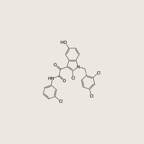 O=C(Nc1cccc(Cl)c1)C(=O)c1c(Cl)n(Cc2ccc(Cl)cc2Cl)c2ccc(O)cc12